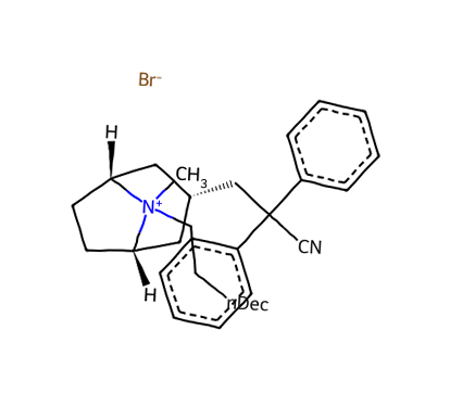 CCCCCCCCCCCC[N+]1(C)[C@@H]2CC[C@H]1C[C@@H](CC(C#N)(c1ccccc1)c1ccccc1)C2.[Br-]